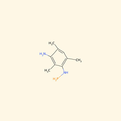 Cc1cc(C)c(NP)c(C)c1N